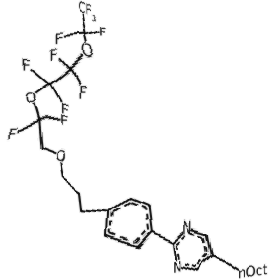 CCCCCCCCc1cnc(-c2ccc(CCCOCC(F)(F)OC(F)(F)C(F)(F)OC(F)(F)C(F)(F)F)cc2)nc1